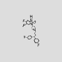 O=c1[nH]c2cc(F)c(F)cc2n1C1CCN(CCCC(c2ccc(F)cc2)c2ccc(F)cc2)CC1